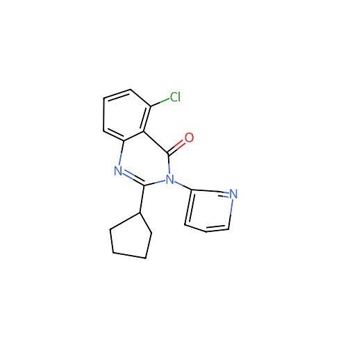 O=c1c2c(Cl)cccc2nc(C2CCCC2)n1-c1cccnc1